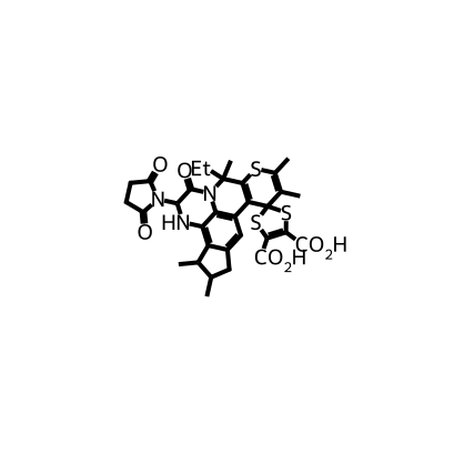 CCC1(C)C2=C(c3cc4c(c5c3N1C(=O)C(N1C(=O)CCC1=O)N5)C(C)C(C)C4)C1(SC(C(=O)O)=C(C(=O)O)S1)C(C)=C(C)S2